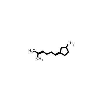 CC(C)=CCCC=C1CCC(C)C1